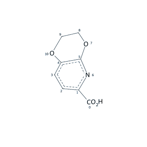 O=C(O)c1ccc2c(n1)OCCO2